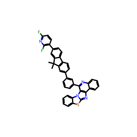 CC1(C)c2cc(-c3cccc(-c4nc5ccccc5c5nc6sc7ccccc7n6c45)c3)ccc2-c2ccc(-c3ccc(F)nc3F)cc21